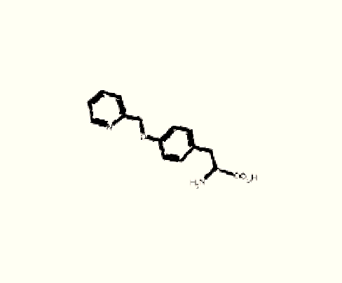 N[C@@H](Cc1ccc(OCc2ccccn2)cc1)C(=O)O